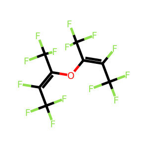 FC(=C(OC(=C(F)C(F)(F)F)C(F)(F)F)C(F)(F)F)C(F)(F)F